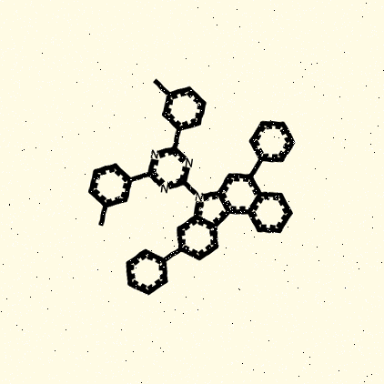 Cc1cccc(-c2nc(-c3cccc(C)c3)nc(-n3c4cc(-c5ccccc5)ccc4c4c5ccccc5c(-c5ccccc5)cc43)n2)c1